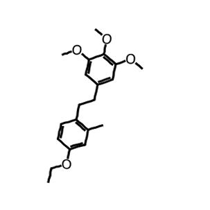 CCOc1ccc(CCc2cc(OC)c(OC)c(OC)c2)c(C)c1